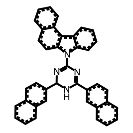 c1ccc2cc(C3=NC(n4c5ccccc5c5c6ccccc6ccc54)=NC(c4ccc5ccccc5c4)N3)ccc2c1